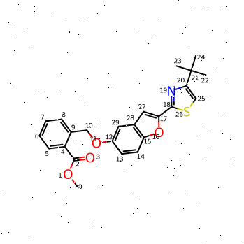 COC(=O)c1ccccc1COc1ccc2oc(-c3nc(C(C)(C)C)cs3)cc2c1